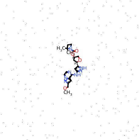 COCc1cc2c(Nc3cc([C@H]4C[C@@H](OC(=O)N5CCC5(C)C)CO4)[nH]n3)nccn2n1